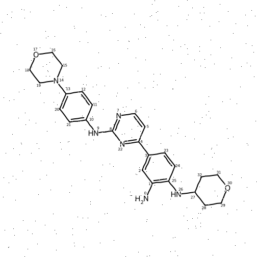 Nc1cc(-c2ccnc(Nc3ccc(N4CCOCC4)cc3)n2)ccc1NC1CCOCC1